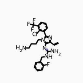 C=Cc1nc(-c2cccc(C(F)(F)F)c2Cl)n(CCCCN)c1/N=C(\N)NCc1ccccc1F